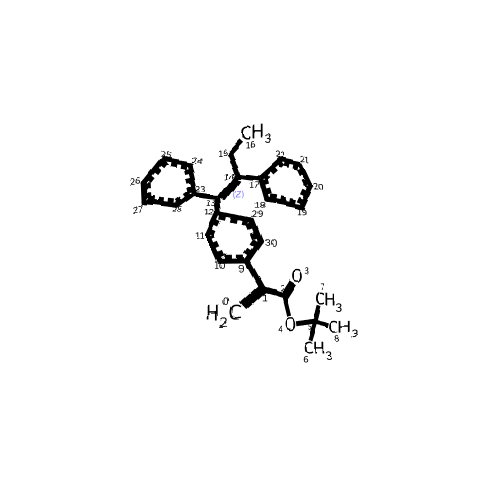 C=C(C(=O)OC(C)(C)C)c1ccc(/C(=C(/CC)c2ccccc2)c2ccccc2)cc1